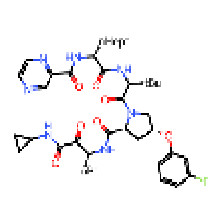 CCCCCCC[C@H](NC(=O)c1cnccn1)C(=O)N[C@H](C(=O)N1C[C@H](Oc2cccc(F)c2)C[C@H]1C(=O)N[C@@H](CCC)C(=O)C(=O)NC1CC1)C(C)(C)C